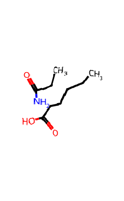 CCC(N)=O.CCCCCC(=O)O